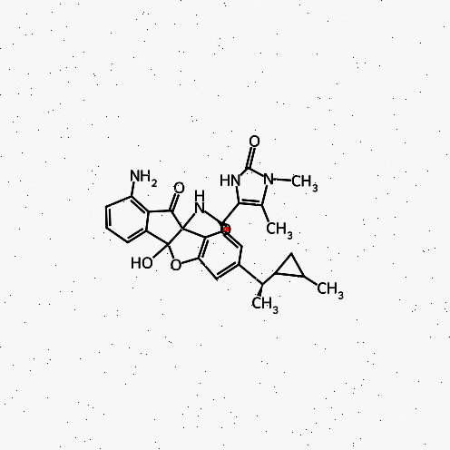 Cc1c(C(=O)NC23C(=O)c4c(N)cccc4C2(O)Oc2cc([C@H](C)C4CC4C)ccc23)[nH]c(=O)n1C